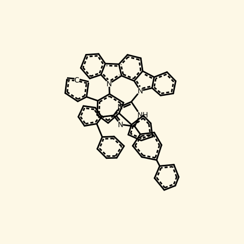 c1ccc(-c2ccc(C3N=C(c4ccccc4-c4ccccc4)N=C(n4c5ccccc5c5ccc6c7ccccc7n(-c7cc(-c8ccccc8)ccc7-c7ccccc7)c6c54)N3)cc2)cc1